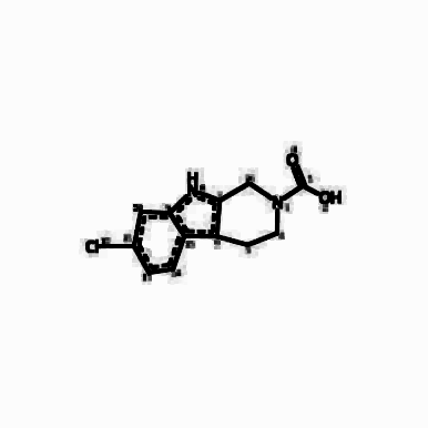 O=C(O)N1CCc2c([nH]c3cc(Cl)ccc23)C1